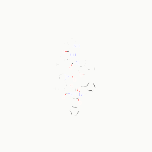 CC[C@H](C)[C@@H]([C@@H](CC(=O)N1CCC[C@H]1[C@H](OC)[C@@H](C)C(=O)N[C@@H](Cc1ccccc1)C(=O)N1Cc2ccccc2CO1)OC)N(C)C(=O)[C@@H](NC(=O)[C@@H](NC)C(C)C)C(C)C